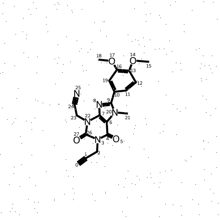 C#CCn1c(=O)c2c(nc(-c3ccc(OC)c(OC)c3)n2C)n(CC#N)c1=O